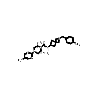 C[C@@H]1CN(c2ncc(C(F)(F)F)cn2)C[C@H](C)N1C(=O)NC1CC2(C1)CN(Cc1ccc(C(F)(F)F)cc1)C2